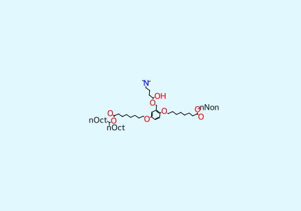 CCCCCCCCCOC(=O)CCCCCCCOc1ccc(OCCCCCCCC(=O)OC(CCCCCCCC)CCCCCCCC)cc1COC(O)CCCN(C)C